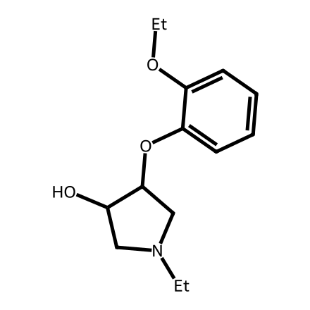 CCOc1ccccc1OC1CN(CC)CC1O